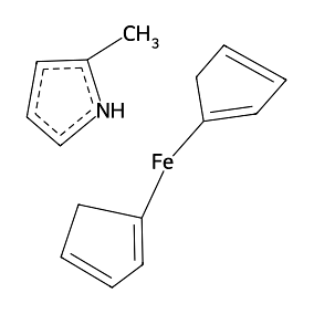 C1=CC[C]([Fe][C]2=CC=CC2)=C1.Cc1ccc[nH]1